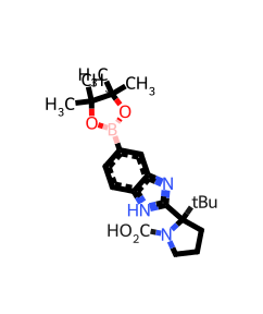 CC(C)(C)C1(c2nc3cc(B4OC(C)(C)C(C)(C)O4)ccc3[nH]2)CCCN1C(=O)O